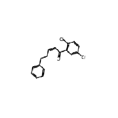 O=C(/C=C\CCc1ccccc1)c1cc(Cl)ccc1Cl